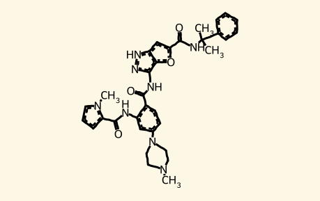 CN1CCN(c2ccc(C(=O)Nc3n[nH]c4cc(C(=O)NC(C)(C)c5ccccc5)oc34)c(NC(=O)c3cccn3C)c2)CC1